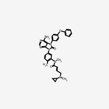 Cc1ccc(-n2c(=O)n(-c3ccc(Oc4ccccc4)cc3)c3c(N)ncnc32)cc1N(C)C(=O)C=CCN(C)C1CC1